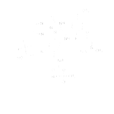 CCc1cc(OCCN(C)C)c(F)c(C(Nc2ccc(Br)c(CNC(=O)OC(C)(C)C)c2)c2nn(-c3ncccn3)c(=O)[nH]2)c1.O=C(O)C(F)(F)F